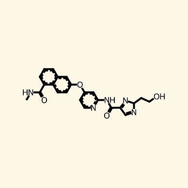 CNC(=O)c1cccc2cc(Oc3ccnc(NC(=O)C4=NC(CCO)N=C4)c3)ccc12